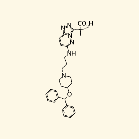 CC(C)(C(=O)O)c1nnc2ccc(NCCCN3CCC(OC(c4ccccc4)c4ccccc4)CC3)nn12